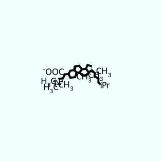 CC(C)CCC[C@@H](C)[C@H]1CCC2C3CC=C4CC(C(CC[N+](C)(C)C)C(=O)[O-])CC[C@]4(C)C3CC[C@@]21C